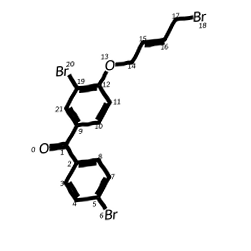 O=C(c1ccc(Br)cc1)c1ccc(OC/C=C/CBr)c(Br)c1